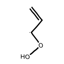 C=C[CH]OO